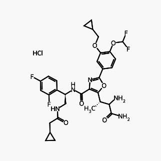 C[C@H](c1oc(-c2ccc(OC(F)F)c(OCC3CC3)c2)nc1C(=O)N[C@@H](CNC(=O)CC1CC1)c1ccc(F)cc1F)C(N)C(N)=O.Cl